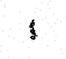 C=Cc1cnc2c(c1)ncn2Cc1ccc2nc(NC3CCCCC3)sc2c1